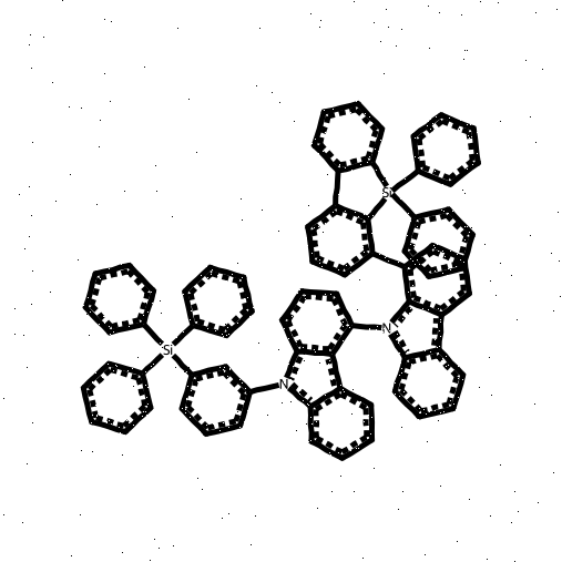 c1ccc([Si](c2ccccc2)(c2ccccc2)c2cccc(-n3c4ccccc4c4c(-n5c6ccccc6c6cccc(-c7cccc8c7[Si](c7ccccc7)(c7ccccc7)c7ccccc7-8)c65)cccc43)c2)cc1